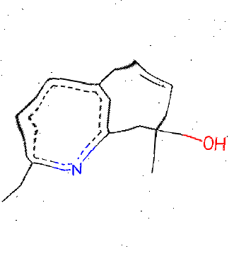 Cc1ccc2c(n1)C(C)(O)C=C2